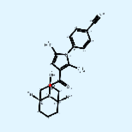 Cc1cc(C(=O)CN2[C@@H]3CCC[C@H]2C[C@H](O)C3)c(C)n1-c1ccc(C#N)cc1